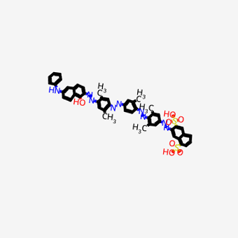 Cc1cc(N=Nc2ccc3cc(Nc4ccccc4)ccc3c2O)c(C)cc1N=Nc1ccc(N=Nc2c(C)cc(N=Nc3cc4c(S(=O)(=O)O)cccc4cc3S(=O)(=O)O)cc2C)c(C)c1